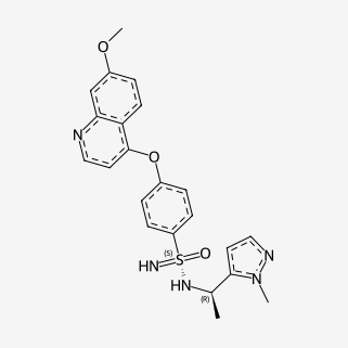 COc1ccc2c(Oc3ccc([S@](=N)(=O)N[C@H](C)c4ccnn4C)cc3)ccnc2c1